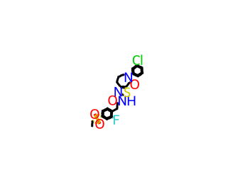 CCS(=O)(=O)c1ccc(CC(=O)Nc2nc3c(s2)C(=O)N(c2cccc(Cl)c2)CCC3)c(F)c1